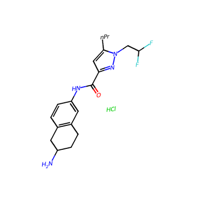 CCCc1cc(C(=O)Nc2ccc3c(c2)CCC(N)C3)nn1CC(F)F.Cl